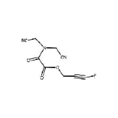 N#CCN(CC#N)C(=O)C(=O)OCC#CF